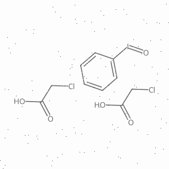 O=C(O)CCl.O=C(O)CCl.O=Ic1ccccc1